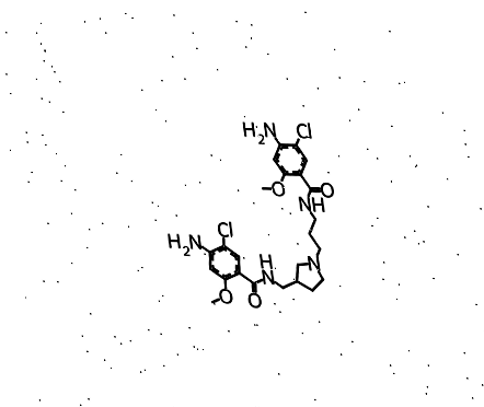 COc1cc(N)c(Cl)cc1C(=O)NCCCN1CCC(CNC(=O)c2cc(Cl)c(N)cc2OC)C1